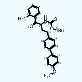 Cc1ccccc1C(=O)C(CCc1ccc(-c2ccc(OC(F)(F)F)cc2)cc1)NC(=O)OC(C)(C)C